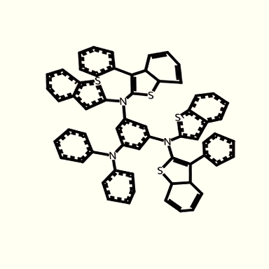 C1=CC2SC(N(c3cc(N(C4=C(c5ccccc5)C5C=CC=CC5S4)c4cc5ccccc5s4)cc(N(c4ccccc4)c4ccccc4)c3)c3cc4ccccc4s3)=C(c3ccccc3)C2C=C1